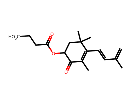 C=C(C)/C=C/C1=C(C)C(=O)C(OC(=O)CCC(=O)O)CC1(C)C